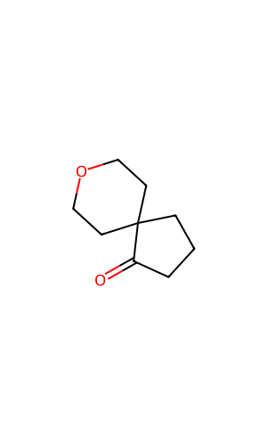 O=C1CCCC12CCOCC2